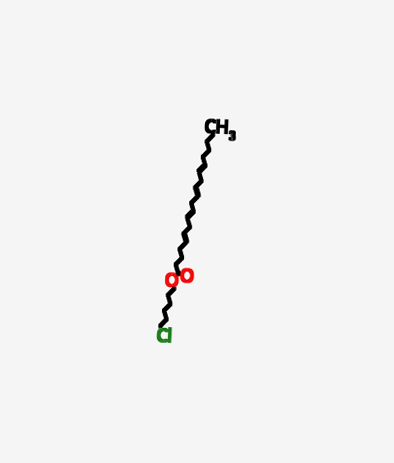 CCCCCC=CCC=CCC=CCC=CCCCC(=O)OCCCCCCCl